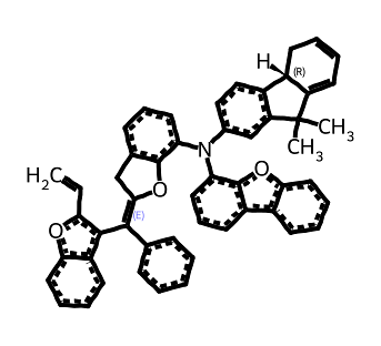 C=Cc1oc2ccccc2c1/C(=C1\Cc2cccc(N(c3ccc4c(c3)C(C)(C)C3=CC=CC[C@H]34)c3cccc4c3oc3ccccc34)c2O1)c1ccccc1